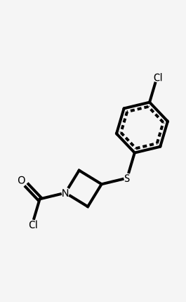 O=C(Cl)N1CC(Sc2ccc(Cl)cc2)C1